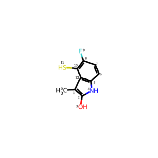 Cc1c(O)[nH]c2ccc(F)c(S)c12